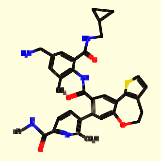 CCCNC(=O)c1ccc(-c2cc3c(cc2C(=O)Nc2c(C)cc(CN)cc2C(=O)NCC2CC2)-c2sccc2CCO3)c(C(=O)O)n1